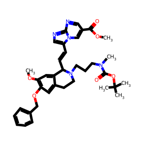 COC(=O)c1cnc2ncc(/C=C/C3c4cc(OC)c(OCc5ccccc5)cc4CCN3CCCN(C)C(=O)OC(C)(C)C)n2c1